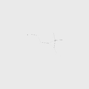 CCCOCC1C(C=O)C1(C)C